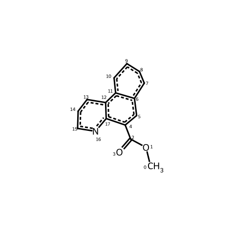 COC(=O)c1cc2ccccc2c2cccnc12